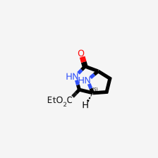 CCOC(=O)C1NC(=O)C2CC[C@@H]1N2